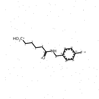 O=C(O)CCCCC(=O)NCc1ccc(F)cc1